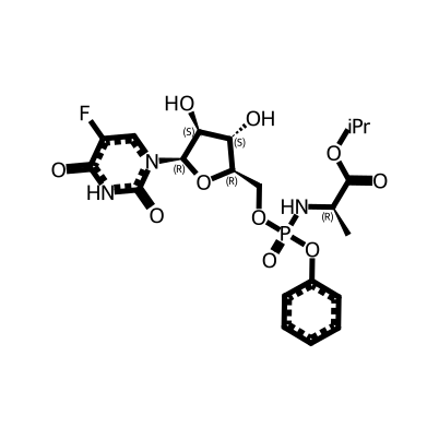 CC(C)OC(=O)[C@@H](C)NP(=O)(OC[C@H]1O[C@@H](n2cc(F)c(=O)[nH]c2=O)[C@@H](O)[C@@H]1O)Oc1ccccc1